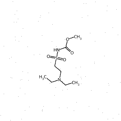 CCN(CC)CCS(=O)(=O)NC(=O)OC